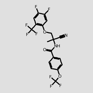 CC(C#N)(COc1cc(F)c(F)cc1C(F)(F)F)NC(=O)c1ccc(OC(F)(F)F)cc1